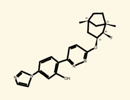 C[C@@]12CC[C@@](C)(C1)[C@@H](F)[C@@H](Oc1ccc(-c3ccc(-n4ccnc4)cc3O)nn1)C2